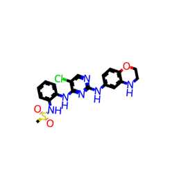 CS(=O)(=O)Nc1ccccc1Nc1nc(Nc2ccc3c(c2)NCCO3)ncc1Cl